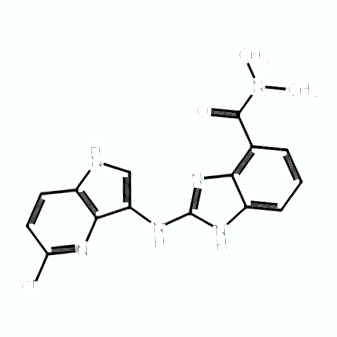 CN(C)C(=O)c1cccc2[nH]c(Nc3c[nH]c4ccc(Cl)nc34)nc12